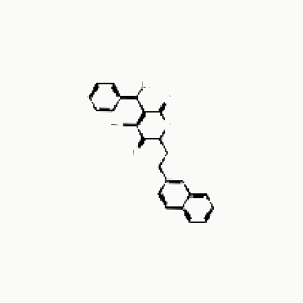 CCC(C1=C(O)C(=O)C(CCc2ccc3ccccc3c2)OC1=O)c1ccccc1